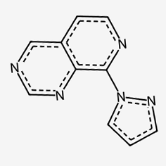 c1cnn(-c2nccc3cncnc23)c1